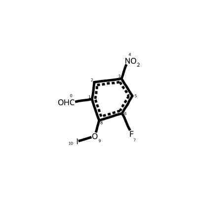 O=Cc1cc([N+](=O)[O-])cc(F)c1OI